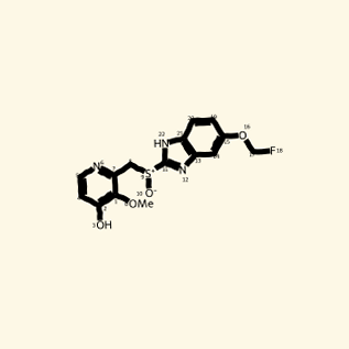 COc1c(O)ccnc1C[S+]([O-])c1nc2cc(OCF)ccc2[nH]1